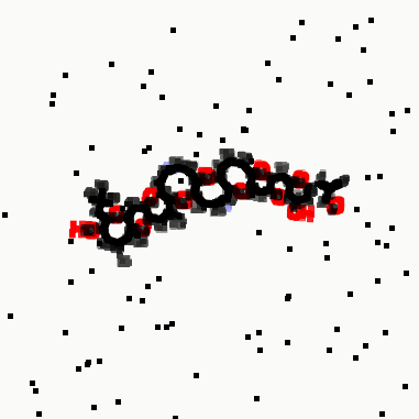 C=C(C=O)C[C@@H]1C[C@H](O)C2OC3C[C@]4(C)OC5/C=C\CC6OC7C(C/C=C\CC6OC5CCCC4OC3CC2O1)OC1CC2OC(CC(C)(C)C)C(O)C[C@@H](C)C[C@@]2(C)OC1C[C@@H]7C